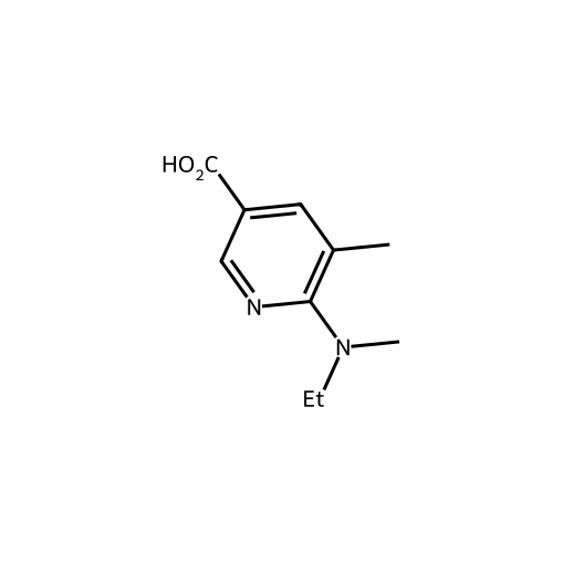 CCN(C)c1ncc(C(=O)O)cc1C